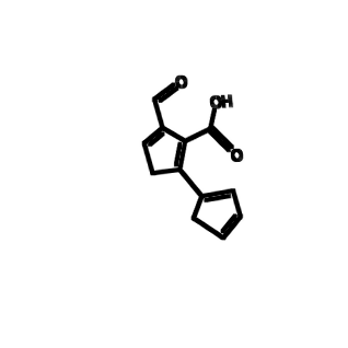 O=CC1=CCC(C2=CC=CC2)=C1C(=O)O